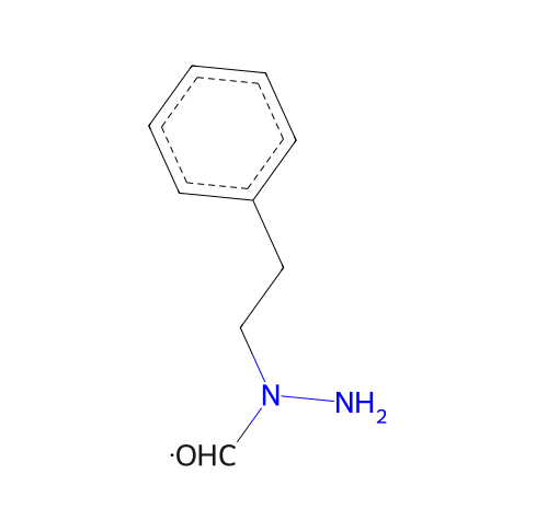 NN([C]=O)CCc1ccccc1